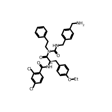 CCOc1ccc(C[C@@H](NC(=O)c2ccc(Cl)cc2Cl)C(=O)N(CCc2ccccc2)C(=O)NCc2ccc(CN)cc2)cc1